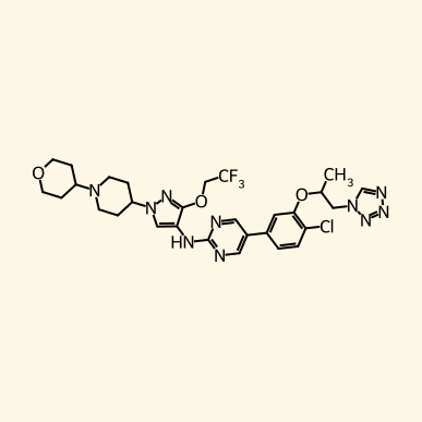 CC(Cn1cnnn1)Oc1cc(-c2cnc(Nc3cn(C4CCN(C5CCOCC5)CC4)nc3OCC(F)(F)F)nc2)ccc1Cl